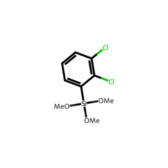 CO[Si](OC)(OC)c1cccc(Cl)c1Cl